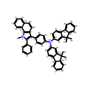 Cn1c(-c2ccccc2)c(-c2ccc(N(c3ccc4c(c3)C(C)(C)c3ccccc3-4)c3ccc4c(c3)C(C)(C)c3ccccc3-4)cc2)c2ccc3ccccc3c21